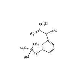 C=C(C(=O)OCC)C(OC(C)=O)c1cccc(O[Si](C)(C)C(C)(C)C)c1